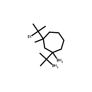 BC(C)(C)C1(B)CCCCC(C)(C(C)(C)CC)C1